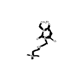 CCOC(=O)Cn1c(=O)cc(Cl)n(COCC[Si](C)(C)C)c1=O